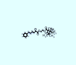 CC(C)(C)CC(C)(C(=O)OCCOC(=O)C(=O)/C=C/C=C/c1ccccc1)C(C)(C)C